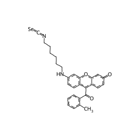 Cc1ccccc1C(=O)c1c2ccc(=O)cc-2oc2cc(NCCCCCCN=C=[Se])ccc12